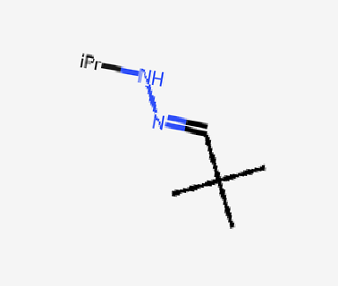 CC(C)NN=CC(C)(C)C